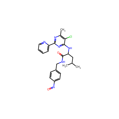 Cc1nc(-c2ccccn2)nc(NC(CC(C)C)C(=O)NCc2ccc(N=O)cc2)c1Cl